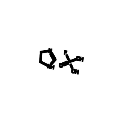 C1=NCCN1.O=P(O)(O)F